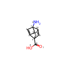 NC12C=C(C1)C1(C(=O)O)C=C2C1